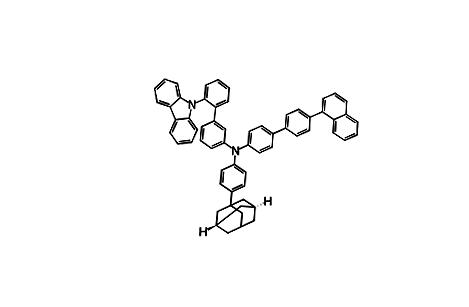 c1cc(-c2ccccc2-n2c3ccccc3c3ccccc32)cc(N(c2ccc(-c3ccc(-c4cccc5ccccc45)cc3)cc2)c2ccc(C34CC5C[C@H](C3)C[C@H](C5)C4)cc2)c1